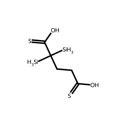 OC(=S)CCC([SiH3])([SiH3])C(O)=S